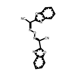 N#CC(=NON=C(C#N)c1nc2ccccc2o1)c1nc2ccccc2o1